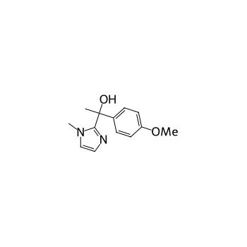 COc1ccc(C(C)(O)c2nccn2C)cc1